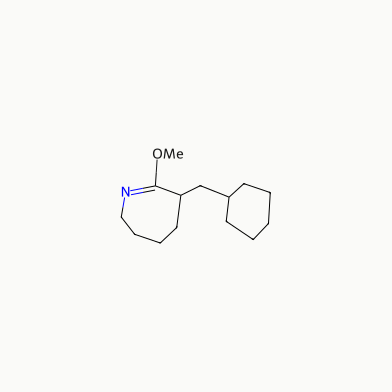 COC1=NCCCCC1CC1CCCCC1